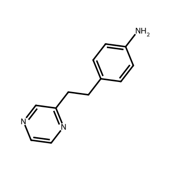 Nc1ccc(CCc2cnccn2)cc1